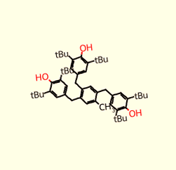 Cc1cc(Cc2cc(C(C)(C)C)c(O)c(C(C)(C)C)c2)c(Cc2cc(C(C)(C)C)c(O)c(C(C)(C)C)c2)cc1Cc1cc(C(C)(C)C)c(O)c(C(C)(C)C)c1